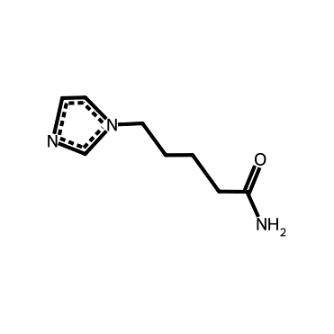 NC(=O)CCCCn1ccnc1